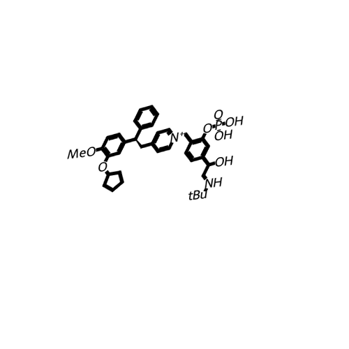 COc1ccc([C@H](Cc2cc[n+](Cc3ccc(C(O)CNC(C)(C)C)cc3OP(=O)(O)O)cc2)c2ccccc2)cc1OC1CCCC1